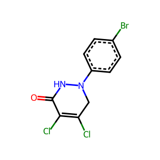 O=C1NN(c2ccc(Br)cc2)CC(Cl)=C1Cl